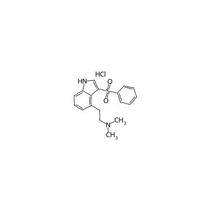 CN(C)CCc1cccc2[nH]cc(S(=O)(=O)c3ccccc3)c12.Cl